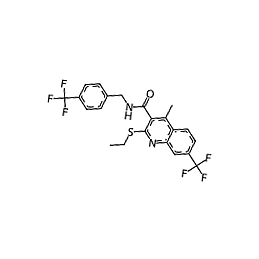 CCSc1nc2cc(C(F)(F)F)ccc2c(C)c1C(=O)NCc1ccc(C(F)(F)F)cc1